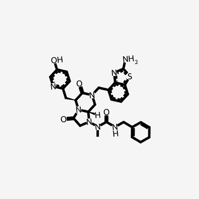 CN(C(=O)NCC1=CCCC=C1)N1CC(=O)N2[C@@H](Cc3ccc(O)cn3)C(=O)N(Cc3cccc4sc(N)nc34)C[C@@H]21